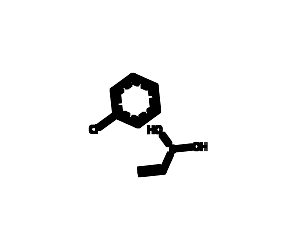 C=CB(O)O.Clc1ccccc1